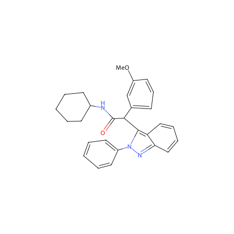 COc1cccc(C(C(=O)NC2CCCCC2)c2c3ccccc3nn2-c2ccccc2)c1